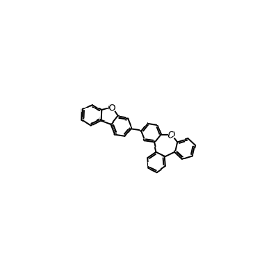 c1ccc2c(c1)Oc1ccc(-c3ccc4c(c3)oc3ccccc34)cc1-c1ccccc1-2